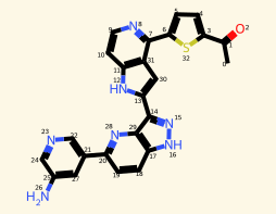 CC(=O)c1ccc(-c2nccc3[nH]c(-c4n[nH]c5ccc(-c6cncc(N)c6)nc45)cc23)s1